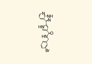 O=C(NCc1cccc(Br)c1)c1c[nH]c(-c2n[nH]c3ncccc23)c1